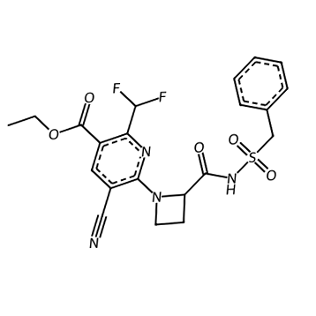 CCOC(=O)c1cc(C#N)c(N2CCC2C(=O)NS(=O)(=O)Cc2ccccc2)nc1C(F)F